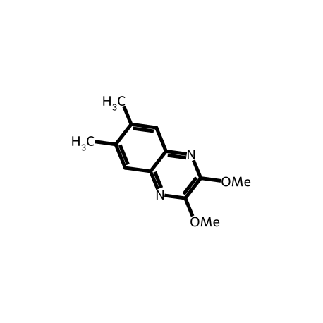 COc1nc2cc(C)c(C)cc2nc1OC